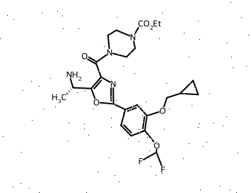 CCOC(=O)N1CCN(C(=O)c2nc(-c3ccc(OC(F)F)c(OCC4CC4)c3)oc2[C@H](C)N)CC1